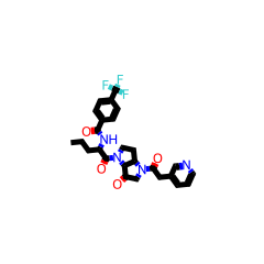 CCCC(NC(=O)c1ccc(C(F)(F)F)cc1)C(=O)N1CCC2C1C(=O)CN2C(=O)Cc1cccnc1